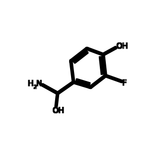 NC(O)c1ccc(O)c(F)c1